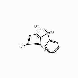 Cc1cc(C)c(P(C)(=O)c2ccccc2)c(C)c1